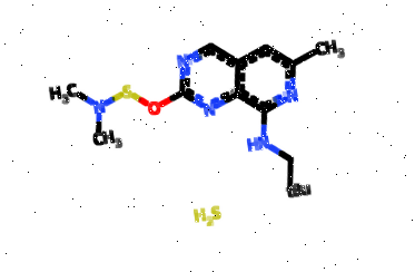 Cc1cc2cnc(OSN(C)C)nc2c(NCC(C)(C)C)n1.S